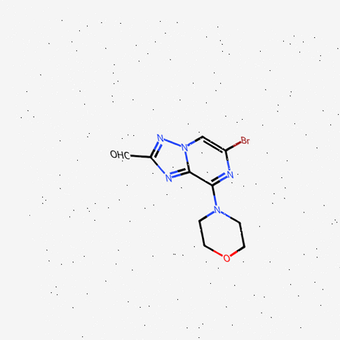 O=Cc1nc2c(N3CCOCC3)nc(Br)cn2n1